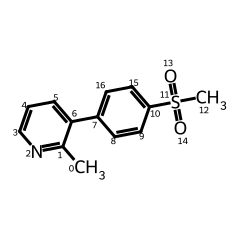 Cc1ncccc1-c1ccc(S(C)(=O)=O)cc1